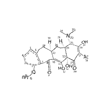 CCCOc1cccc2c1C(=O)C1=C(O)[C@]3(O)C(=O)C(C(C)=O)=C(O)[C@@H](N(C)C)[C@@H]3C[C@@H]1C2